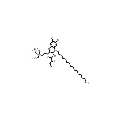 CCCCCCCCCCCCCCCCN1c2cc(C)c(C)cc2N=C(CCC[N+](CC)(CC)CC)C1PC(=O)NC=O